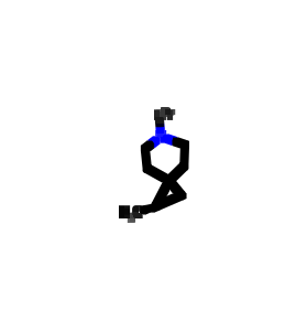 CCCN1CCC2(CC1)C[C@H]2C